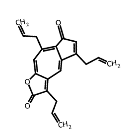 C=CCC1=CC(=O)c2c(CC=C)cc3oc(=O)c(CC=C)c-3cc21